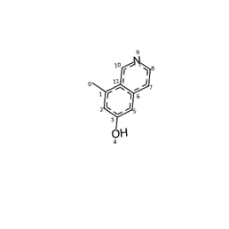 Cc1cc(O)cc2ccncc12